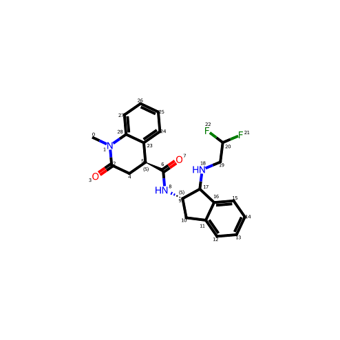 CN1C(=O)C[C@H](C(=O)N[C@H]2Cc3ccccc3C2NCC(F)F)c2ccccc21